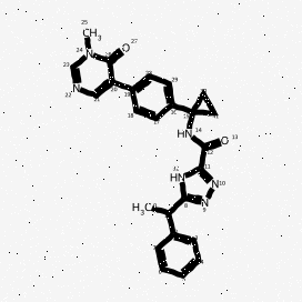 CC(c1ccccc1)c1nnc(C(=O)NC2(c3ccc(-c4cncn(C)c4=O)cc3)CC2)[nH]1